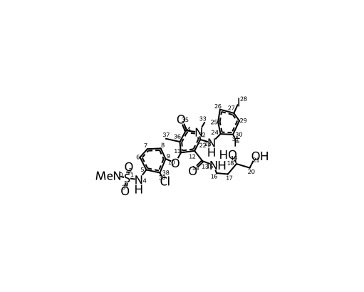 CNS(=O)(=O)Nc1cccc(Oc2c(C(=O)NCC[C@@H](O)CO)c(Nc3ccc(I)cc3F)n(C)c(=O)c2C)c1Cl